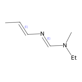 C/C=C/N=C/N(C)CC